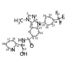 Cn1cnc2c1c1cc(C(=O)N[C@@H](CO)c3ccccn3)ccc1n2-c1ccc(C(F)(F)F)cc1